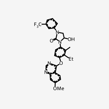 CCc1c(Oc2ncnc3cc(OC)ccc23)ccc(N2C(=O)N(c3cccc(C(F)(F)F)c3)CC2O)c1C